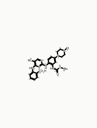 CCN1CCN(c2ccc(Nc3ncc(C#N)c(Nc4ccccc4C(=O)O)n3)c(NC(=O)OC(C)(C)C)c2)CC1